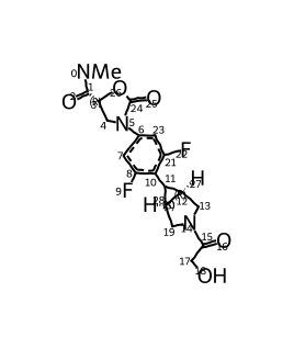 CNC(=O)[C@H]1CN(c2cc(F)c(C3[C@H]4CN(C(=O)CO)C[C@@H]34)c(F)c2)C(=O)O1